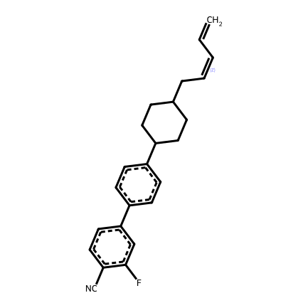 C=C/C=C\CC1CCC(c2ccc(-c3ccc(C#N)c(F)c3)cc2)CC1